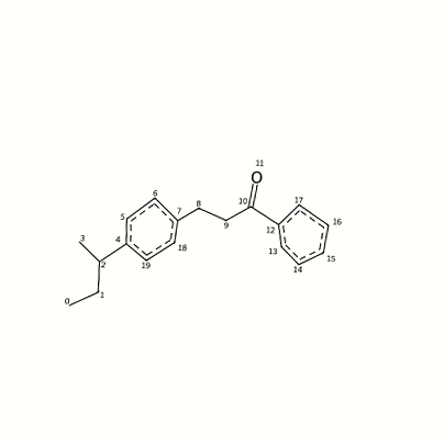 CCC(C)c1ccc(CCC(=O)c2ccccc2)cc1